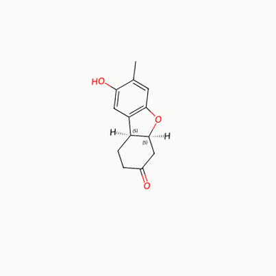 Cc1cc2c(cc1O)[C@@H]1CCC(=O)C[C@@H]1O2